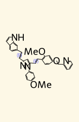 COc1ccc(-n2nc(/C=C/c3ccc4cc[nH]c4c3)cc2/C=C/c2ccc(OCc3ccccn3)cc2OC)cc1